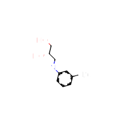 CC(C)(C)c1cccc(NC[C@H](O)CO)c1